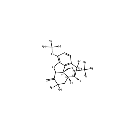 [2H]C([2H])([2H])Oc1ccc2c3c1OC1C(=O)C([2H])([2H])C[C@H]4[C@H](N(C([2H])([2H])[2H])CC[C@]314)C2([2H])[2H]